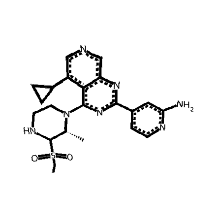 C[C@@H]1C(S(C)(=O)=O)NCCN1c1nc(-c2ccnc(N)c2)nc2cncc(C3CC3)c12